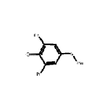 CC(C)c1cc(SC(C)(C)C)cc(C(C)C)c1[O]